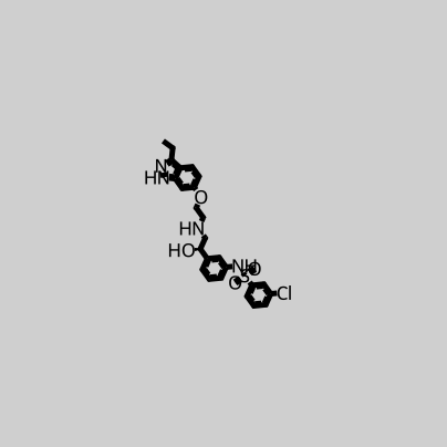 CCc1n[nH]c2cc(OCCNC[C@H](O)c3cccc(NS(=O)(=O)c4cccc(Cl)c4)c3)ccc12